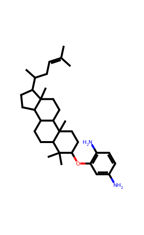 CC(C)=CCC(C)C1CCC2C3CCC4C(C)(C)C(Oc5cc(N)ccc5N)CCC4(C)C3CCC12C